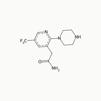 NC(=O)Cc1cc(C(F)(F)F)cnc1N1CCNCC1